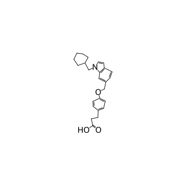 O=C(O)CCc1ccc(OCc2ccc3ccn(CC4CCCCC4)c3c2)cc1